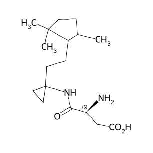 CC1CCC(C)(C)C1CCC1(NC(=O)[C@@H](N)CC(=O)O)CC1